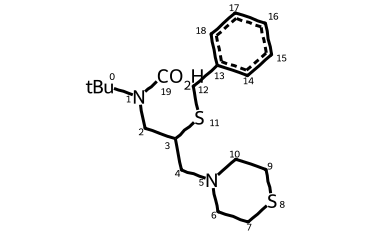 CC(C)(C)N(CC(CN1CCSCC1)SCc1ccccc1)C(=O)O